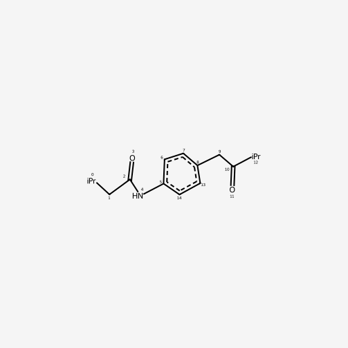 CC(C)CC(=O)Nc1ccc(CC(=O)C(C)C)cc1